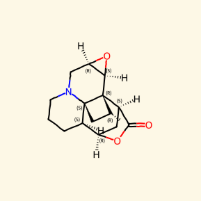 C[C@@H]1C[C@@]23[C@@H]4CCCN2C[C@H]2O[C@H]2[C@@]13[C@@H]1C[C@H]4OC1=O